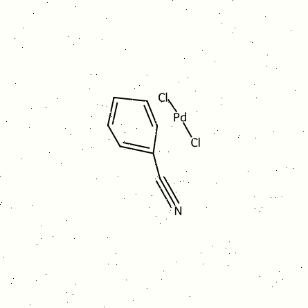 N#Cc1ccccc1.[Cl][Pd][Cl]